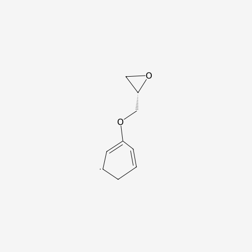 [CH]1C=C(OC[C@@H]2CO2)C=CC1